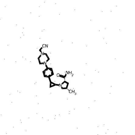 C[C@H]1C[C@@H](C(N)=O)N(C2CC2c2ccc(N3CCN(CC#N)CC3)cc2)C1